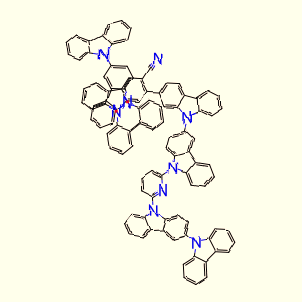 N#Cc1cc2c3ccccc3n(-c3ccccc3-c3ccccc3-n3c4ccccc4c4cc(-n5c6ccccc6c6ccccc65)ccc43)c2cc1-c1ccc2c3ccccc3n(-c3ccc4c(c3)c3ccccc3n4-c3cccc(-n4c5ccccc5c5cc(-n6c7ccccc7c7ccccc76)ccc54)n3)c2c1